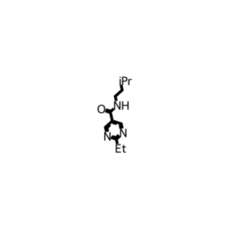 CCc1ncc(C(=O)NCCC(C)C)cn1